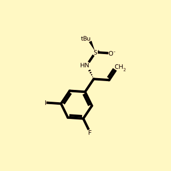 C=C[C@@H](N[S@+]([O-])C(C)(C)C)c1cc(F)cc(I)c1